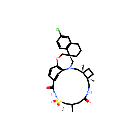 CC1CC(=O)NC[C@@H]2CC[C@H]2CN2C[C@@]3(CCCc4cc(Cl)ccc43)COc3ccc(cc32)C(=O)NS(=O)(=O)[C@H]1C